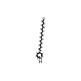 C1=CC=CNC=C1.CCCCCCCCCCCCCCCCC